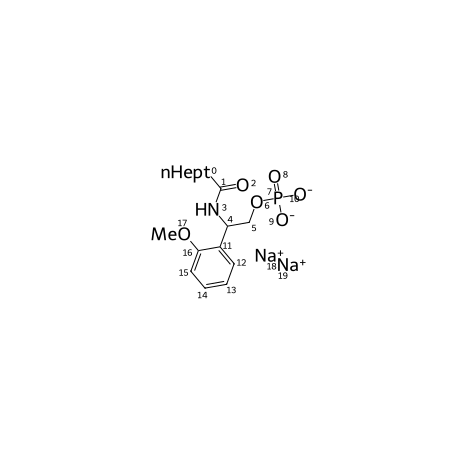 CCCCCCCC(=O)NC(COP(=O)([O-])[O-])c1ccccc1OC.[Na+].[Na+]